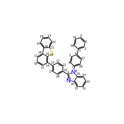 c1ccc(-c2ccc(-n3c(-c4ccc(-c5cccc6c5sc5ccccc56)cc4)nc4ccccc43)cc2)cc1